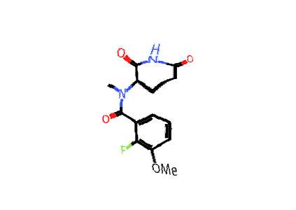 COc1cccc(C(=O)N(C)C2CCC(=O)NC2=O)c1F